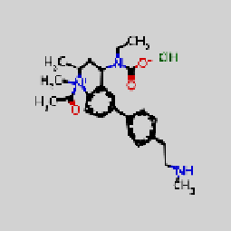 CCN(C(=O)[O-])[C@@H]1C[C@H](C)[N+](C)(C(C)=O)c2ccc(-c3ccc(CCNC)cc3)cc21.Cl